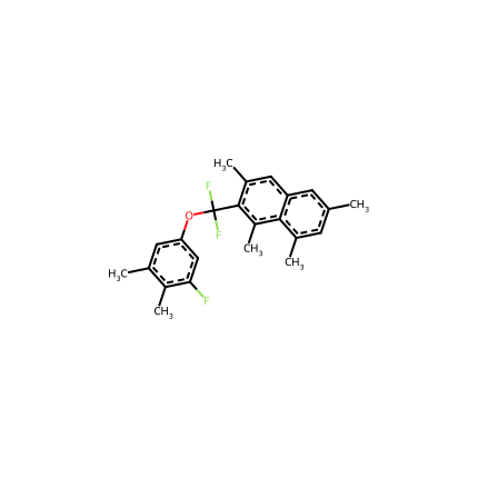 Cc1cc(C)c2c(C)c(C(F)(F)Oc3cc(C)c(C)c(F)c3)c(C)cc2c1